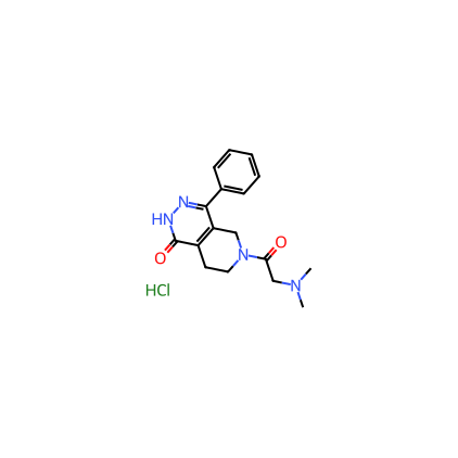 CN(C)CC(=O)N1CCc2c(c(-c3ccccc3)n[nH]c2=O)C1.Cl